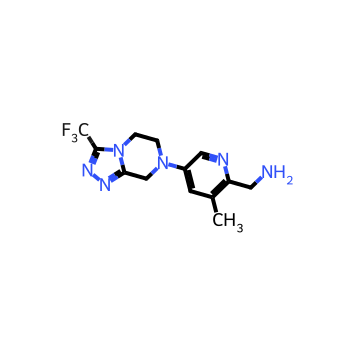 Cc1cc(N2CCn3c(nnc3C(F)(F)F)C2)cnc1CN